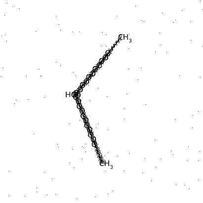 CCCCCCCCCCCCOCCOCCOCCOCCOCCOCCOCCOCCOCCOCCOP(=O)(O)OCCOCCOCCOCCOCCOCCOCCOCCOCCOCCOCCCCCCCCCCCC